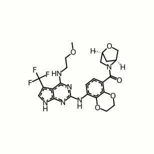 COCCNc1nc(Nc2ccc(C(=O)N3C[C@@H]4C[C@H]3CO4)c3c2OCCO3)nc2[nH]cc(C(F)(F)F)c12